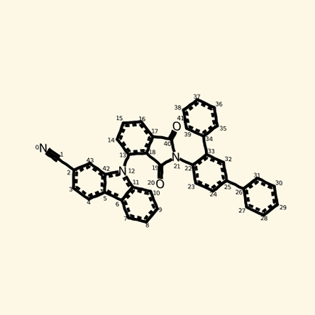 N#Cc1ccc2c3ccccc3n(-c3cccc4c3C(=O)N(c3ccc(-c5ccccc5)cc3-c3ccccc3)C4=O)c2c1